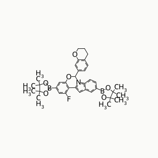 CC1(C)OB(c2cc(F)c3c(c2)OC(c2ccc4c(c2)OCCC4)n2c-3cc3cc(B4OC(C)(C)C(C)(C)O4)ccc32)OC1(C)C